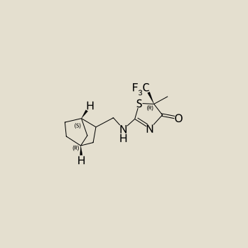 C[C@@]1(C(F)(F)F)SC(NCC2C[C@@H]3CC[C@H]2C3)=NC1=O